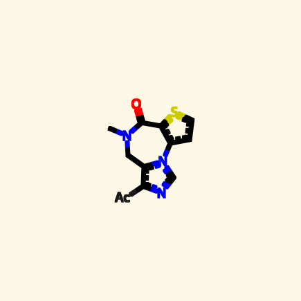 CC(=O)c1ncn2c1CN(C)C(=O)c1sccc1-2